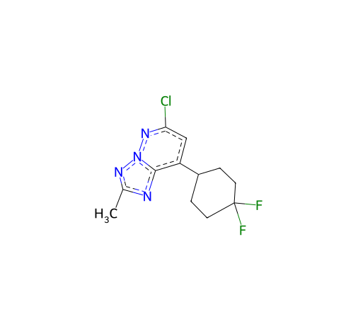 Cc1nc2c(C3CCC(F)(F)CC3)cc(Cl)nn2n1